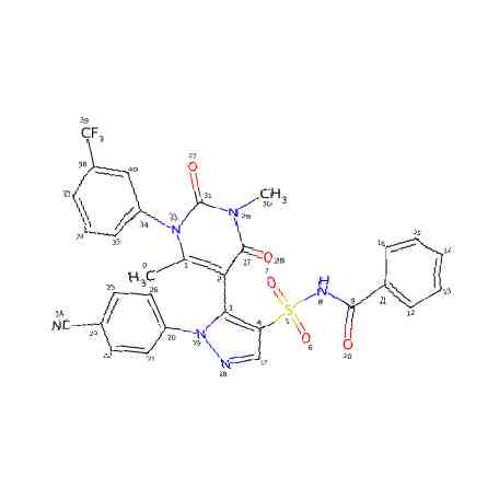 Cc1c(-c2c(S(=O)(=O)NC(=O)c3ccccc3)cnn2-c2ccc(C#N)cc2)c(=O)n(C)c(=O)n1-c1cccc(C(F)(F)F)c1